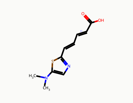 CN(C)c1cnc(C=C/C=C/C(=O)O)s1